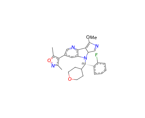 COC1=C2c3ncc(-c4c(C)noc4C)cc3N([C@H](c3ccccc3F)C3CCOCC3)C2C=N1